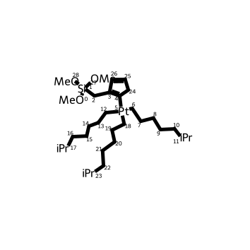 CO[Si](CC1=[C]([Pt]([CH2]CCCCC(C)C)([CH2]CCCCC(C)C)[CH2]CCCCC(C)C)CC=C1)(OC)OC